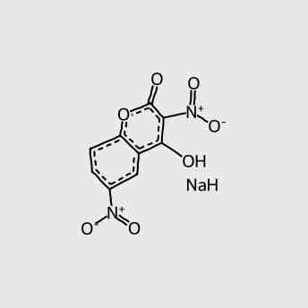 O=c1oc2ccc([N+](=O)[O-])cc2c(O)c1[N+](=O)[O-].[NaH]